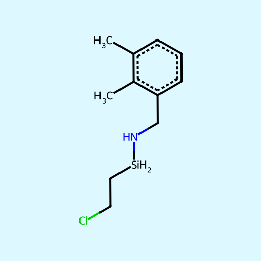 Cc1cccc(CN[SiH2]CCCl)c1C